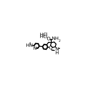 CCOc1ccc(-c2ccc(NC)nc2)cc1CC1(C(N)=O)CCC(NC)CC1.Cl.Cl